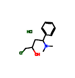 CN(C)C(CC(O)CCl)c1ccccc1.Cl